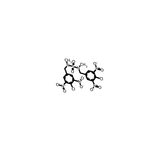 CN(Cc1cc([N+](=O)[O-])c(Cl)c([N+](=O)[O-])c1)S(=O)(=O)N(C)Cc1cc([N+](=O)[O-])c(Cl)c([N+](=O)[O-])c1